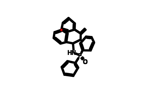 C=C(CC(NP(=O)(c1ccccc1)c1ccccc1)c1ccccc1)c1ccccc1